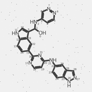 OC(Nc1ccnnc1)c1c[nH]c2ccc(-c3nccc(Nc4ccc5[nH]ncc5c4)n3)cc12